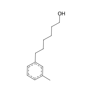 Cc1cccc(CCCCCCO)c1